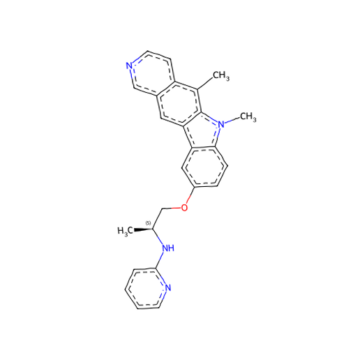 Cc1c2ccncc2cc2c3cc(OC[C@H](C)Nc4ccccn4)ccc3n(C)c12